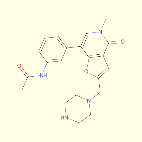 CC(=O)Nc1cccc(-c2cn(C)c(=O)c3cc(CN4CCNCC4)oc23)c1